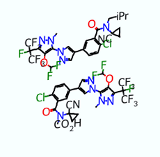 CC(C)CN(C(=O)c1cc(-c2cnn(-c3c(OC(F)F)c(C(F)(C(F)(F)F)C(F)(F)F)nn3C)c2)ccc1Cl)C1(C#N)CC1.Cn1nc(C(F)(C(F)(F)F)C(F)(F)F)c(OC(F)F)c1-n1cc(-c2ccc(Cl)c(C(=O)N(C(=O)O)C3(C#N)CC3)c2)cn1